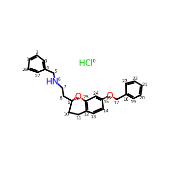 Cl.c1ccc(CNCCC2CCc3ccc(OCc4ccccc4)cc3O2)cc1